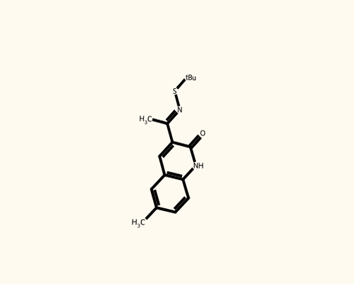 C/C(=N\SC(C)(C)C)c1cc2cc(C)ccc2[nH]c1=O